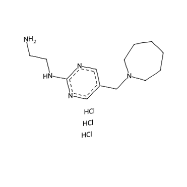 Cl.Cl.Cl.NCCNc1ncc(CN2CCCCCC2)cn1